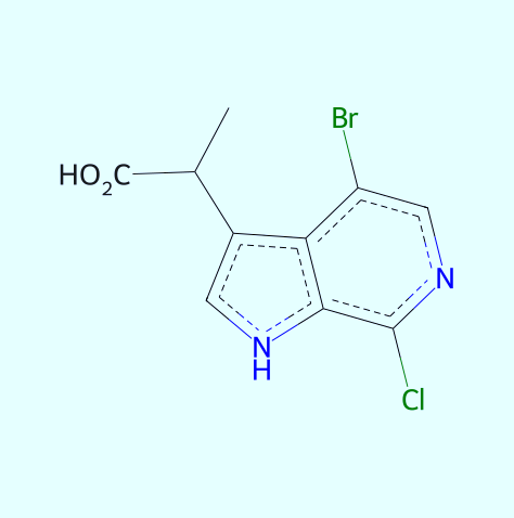 CC(C(=O)O)c1c[nH]c2c(Cl)ncc(Br)c12